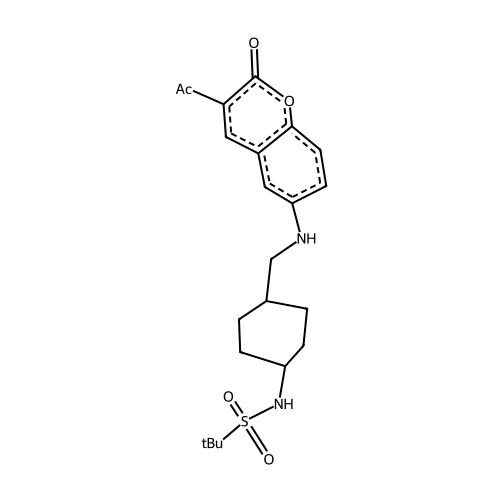 CC(=O)c1cc2cc(NCC3CCC(NS(=O)(=O)C(C)(C)C)CC3)ccc2oc1=O